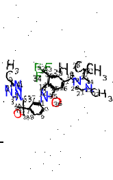 Cc1ncn(CC2(c3cccc(N4Cc5c(cc(CN6CCN(C)CC6C(C)C)cc5C(F)(F)F)C4=O)c3)COC2)n1